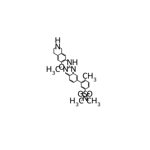 COc1cc2c(cc1Nc1ncc3ccc(-c4cc(S(=O)(=O)N(C)C)ccc4C)cc3n1)CNCC2